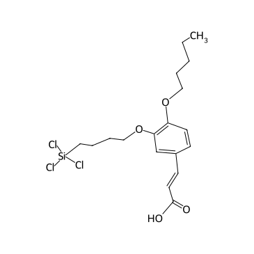 CCCCCOc1ccc(C=CC(=O)O)cc1OCCCC[Si](Cl)(Cl)Cl